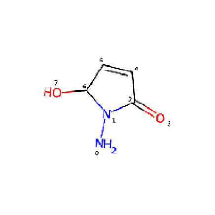 NN1C(=O)C=CC1O